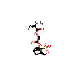 C=C(C)C(=O)OCC(=O)OC1C2C=C3C(C2)C1OS3(=O)=O